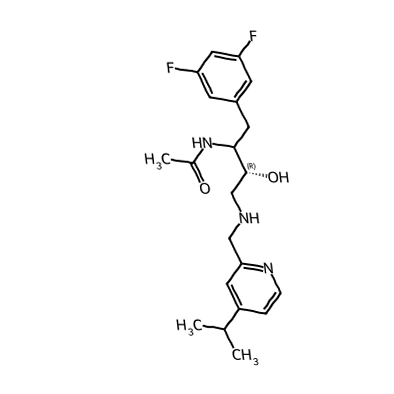 CC(=O)NC(Cc1cc(F)cc(F)c1)[C@H](O)CNCc1cc(C(C)C)ccn1